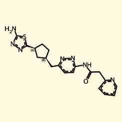 Nc1nnc([C@H]2CC[C@@H](Cc3ccc(NC(=O)Cc4ccccn4)nn3)C2)s1